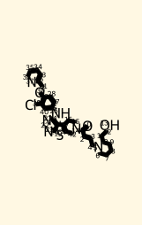 O=C(C=CCN1CCCCC1CCO)N1CCc2c(sc3ncnc(Nc4ccc(OCc5ccccn5)c(Cl)c4)c23)C1